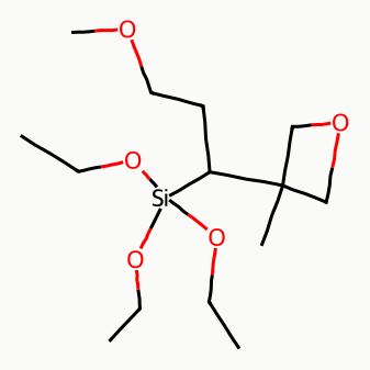 CCO[Si](OCC)(OCC)C(CCOC)C1(C)COC1